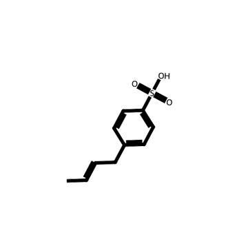 C/C=C/Cc1ccc(S(=O)(=O)O)cc1